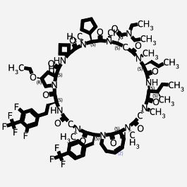 CCC[C@H]1C(=O)N[C@@H]([C@@H](C)CC)C(=O)N(C)CC(=O)N(C)[C@H]2C/C=C\CCN(C2=O)[C@@H](Cc2ccc(C(F)(F)F)cc2)C(=O)N(C)CC(=O)N[C@@H](CCc2cc(F)c(C(F)(F)F)c(F)c2)C(=O)N2C[C@H](OCC)C[C@H]2C(=O)NC2(CCC2)C(=O)N(C)[C@@H](C2CCCC2)C(=O)N(C)[C@H](C(=O)N(CC)CC)CC(=O)N1C